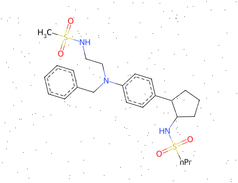 CCCS(=O)(=O)NC1CCCC1c1ccc(N(CCNS(C)(=O)=O)Cc2ccccc2)cc1